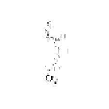 O=C(NCC(=O)N1CC[C@H](NC2CCC(O)(c3ncc(C(=O)N4CCCC4)s3)CC2)C1)c1cccc(C(F)(F)F)c1